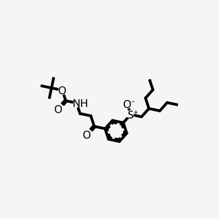 CCCC(CCC)C[S+]([O-])c1cccc(C(=O)CCNC(=O)OC(C)(C)C)c1